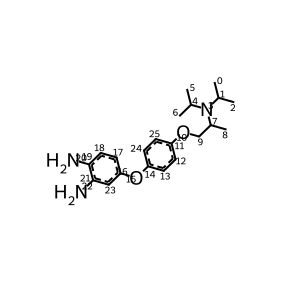 CC(C)N(C(C)C)C(C)COc1ccc(Oc2ccc(N)c(N)c2)cc1